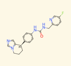 O=C(NCc1ccc(F)cn1)Nc1ccc([C@H]2CCCn3cncc32)cc1